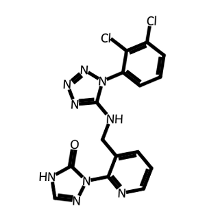 O=c1[nH]cnn1-c1ncccc1CNc1nnnn1-c1cccc(Cl)c1Cl